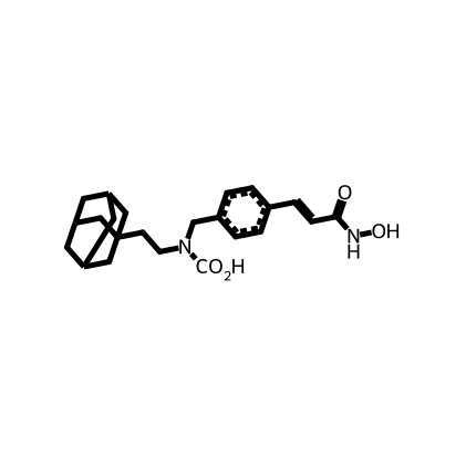 O=C(C=Cc1ccc(CN(CCC23CC4CC(CC(C4)C2)C3)C(=O)O)cc1)NO